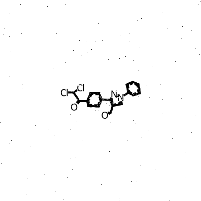 O=Cc1cn(-c2ccccc2)nc1-c1ccc(C(=O)C(Cl)Cl)cc1